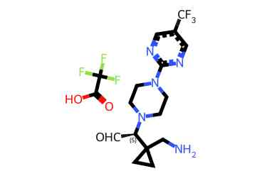 NCC1([C@@H](C=O)N2CCN(c3ncc(C(F)(F)F)cn3)CC2)CC1.O=C(O)C(F)(F)F